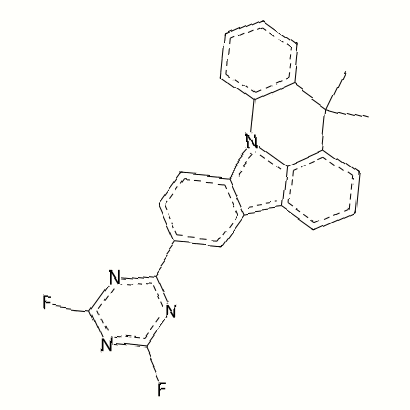 CC1(C)c2ccccc2-n2c3ccc(-c4nc(F)nc(F)n4)cc3c3cccc1c32